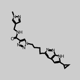 Cn1cc(CNC(=O)c2cn(CCCCc3cc4cc(C5CC5)[nH]c4nn3)nn2)cn1